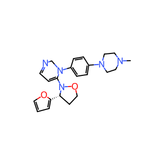 CN1CCN(c2ccc(N3CN=CC=C3N3OCC[C@@H]3c3ccco3)cc2)CC1